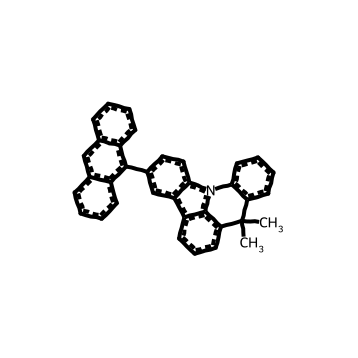 CC1(C)c2ccccc2-n2c3ccc(-c4c5ccccc5cc5ccccc45)cc3c3cccc1c32